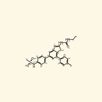 CCNC(=O)Nc1nc2cc(-c3cnc(NS(C)(=O)=O)nc3)cc(-c3ccc(C)cn3)c2s1